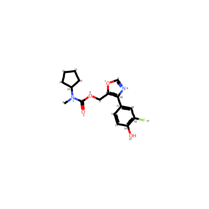 CN(C(=O)OCc1ocnc1-c1ccc(O)c(F)c1)C1CCCC1